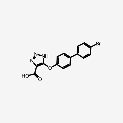 O=C(O)c1nn[nH]c1Oc1ccc(-c2ccc(Br)cc2)cc1